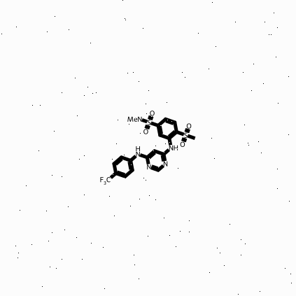 CNS(=O)(=O)c1ccc(S(C)(=O)=O)c(Nc2cc(Nc3ccc(C(F)(F)F)cc3)ncn2)c1